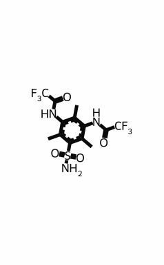 Cc1c(NC(=O)C(F)(F)F)c(C)c(S(N)(=O)=O)c(C)c1NC(=O)C(F)(F)F